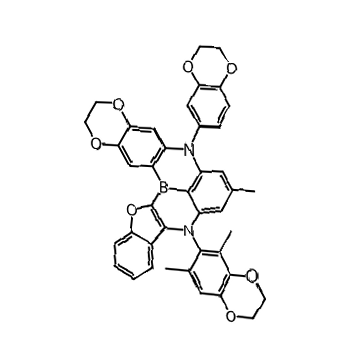 Cc1cc2c3c(c1)N(c1c(C)cc4c(c1C)OCCO4)c1c(oc4ccccc14)B3c1cc3c(cc1N2c1ccc2c(c1)OCCO2)OCCO3